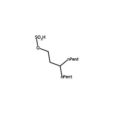 CCCCCC(CCCCC)CCOS(=O)(=O)O